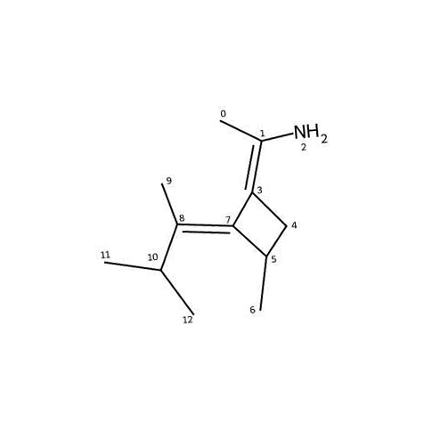 C/C(N)=C1/CC(C)/C1=C(/C)C(C)C